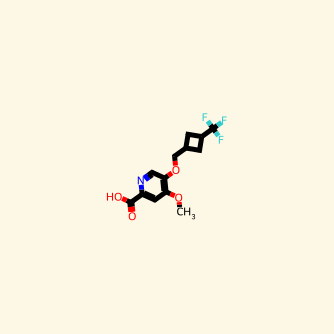 COc1cc(C(=O)O)ncc1OCC1CC(C(F)(F)F)C1